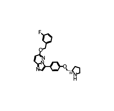 Fc1cccc(COc2ccc3ncc(-c4ccc(OC[C@@H]5CCCN5)cc4)n3n2)c1